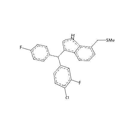 CSCc1cccc2c(C(c3ccc(F)cc3)c3ccc(Cl)c(F)c3)c[nH]c12